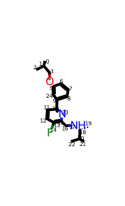 CC(C)COc1cccc(-c2ccc(F)c(CN[C@H](C)C(C)C)n2)c1